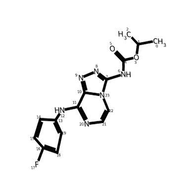 CC(C)OC(=O)Nc1nnc2c(Nc3ccc(F)cc3)nccn12